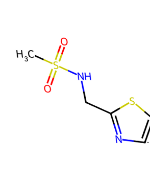 CS(=O)(=O)NCc1n[c]cs1